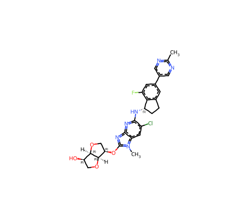 Cc1ncc(-c2cc(F)c3c(c2)CC[C@@H]3Nc2nc3nc(O[C@@H]4CO[C@H]5[C@@H]4OC[C@H]5O)n(C)c3cc2Cl)cn1